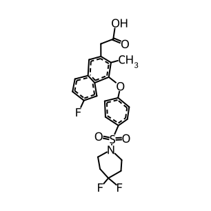 Cc1c(CC(=O)O)cc2ccc(F)cc2c1Oc1ccc(S(=O)(=O)N2CCC(F)(F)CC2)cc1